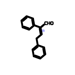 O=C/C(=C/Cc1ccccc1)c1ccccc1